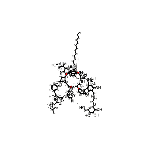 CCCCCCCCCCNCCNC1(CC)C[C@H](O[C@H]2C(Oc3c4cc5cc3Oc3ccc(cc3Cl)[C@@H](O)[C@@H](NC(=O)[C@@H](CC(C)C)NC)C(=O)N[C@@H](CC(N)=O)C(=O)N[C@H]5C(=O)N[C@@H]3C(=O)N[C@H](C(=O)N[C@H](C(=O)O)c5cc(O)c(CNCCO[C@@H]6OC(CO)[C@@H](O)[C@H](O)C6O)c(O)c5-c5cc3ccc5O)[C@H](O)c3ccc(c(Cl)c3)O4)O[C@H](CO)C(O)C2O)OC(C)[C@H]1O